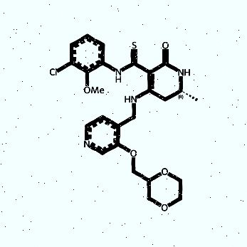 COc1c(Cl)cccc1NC(=S)C1=C(NCc2ccncc2OCC2COCCO2)C[C@@H](C)NC1=O